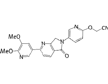 COc1cc(-c2ccc3c(n2)CN(c2ccc(OCC#N)nc2)C3=O)cnc1OC